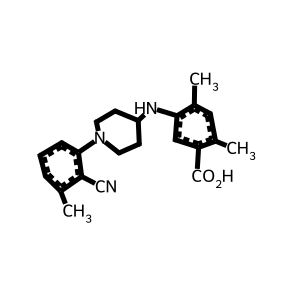 Cc1cc(C)c(C(=O)O)cc1NC1CCN(c2cccc(C)c2C#N)CC1